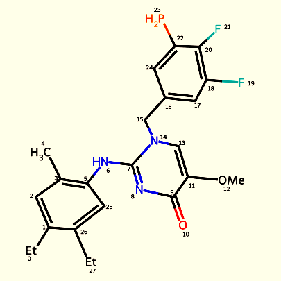 CCc1cc(C)c(Nc2nc(=O)c(OC)cn2Cc2cc(F)c(F)c(P)c2)cc1CC